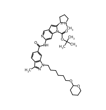 Cc1nn(CCCCCCOC2CCCCO2)c2cc(C(=O)Nc3cc4c(cn3)cc([C@H]3CCCN3C)n4C(=O)OC(C)(C)C)ccc12